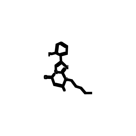 CCCCCn1c(C)cc(=O)n2cc(-c3ccccc3F)nc12